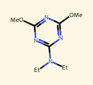 CCN(CC)c1nc(OC)nc(OC)n1